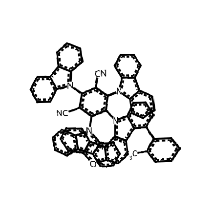 N#Cc1c(-n2c3ccccc3c3ccccc32)c(C#N)c(-n2c3ccccc3c3ccccc32)c(-n2c3cccc(-c4ccccc4C(F)(F)F)c3c3ccc4oc5ccccc5c4c32)c1-n1c2ccccc2c2ccccc21